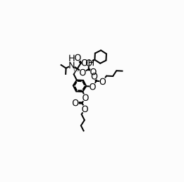 CCCCOC(=O)Oc1ccc(C[C@](NC(C)C)(OC(=O)OC2CCCCC2)C(=O)O)cc1OC(=O)OCCCC